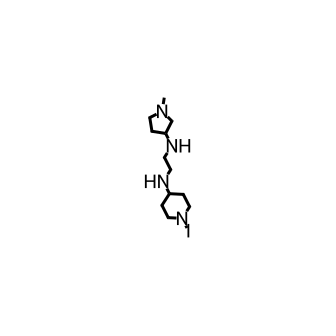 CN1CCC(NCCNC2CCN(I)CC2)C1